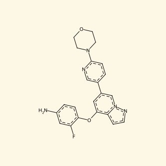 Nc1ccc(Oc2cc(-c3ccc(N4CCOCC4)nc3)cn3nccc23)c(F)c1